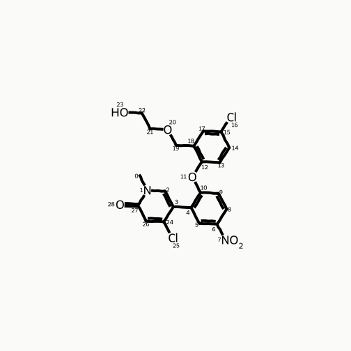 Cn1cc(-c2cc([N+](=O)[O-])ccc2Oc2ccc(Cl)cc2COCCO)c(Cl)cc1=O